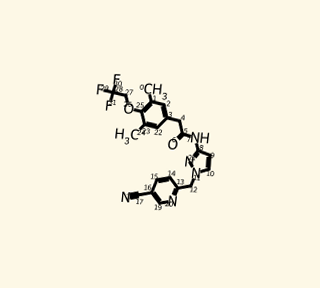 Cc1cc(CC(=O)Nc2ccn(Cc3ccc(C#N)cn3)n2)cc(C)c1OCC(F)(F)F